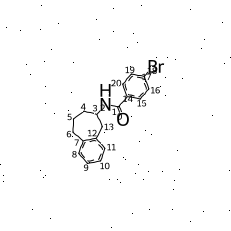 O=C(NC1CCCc2ccccc2C1)c1ccc(Br)cc1